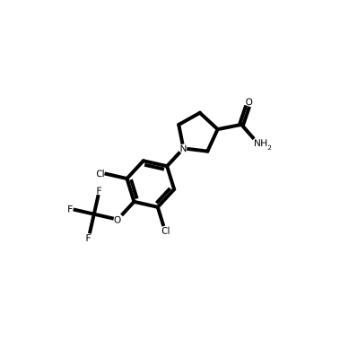 NC(=O)C1CCN(c2cc(Cl)c(OC(F)(F)F)c(Cl)c2)C1